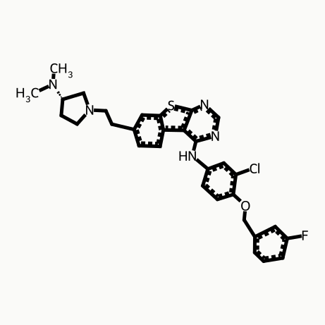 CN(C)[C@H]1CCN(CCc2ccc3c(c2)sc2ncnc(Nc4ccc(OCc5cccc(F)c5)c(Cl)c4)c23)C1